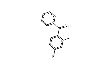 Cc1cc(F)ccc1C(=N)c1ccccc1